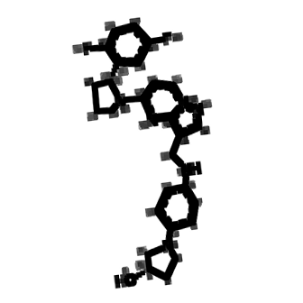 O[C@H]1CCN(c2ccc(NCc3cnn4ccc(N5CCC[C@@H]5c5cc(F)ccc5F)nc34)cc2)C1